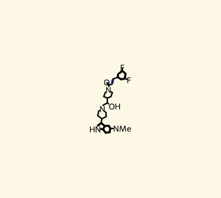 CNc1ccc2[nH]cc(C3CCN(CC(O)C4CCN(C(=O)/C=C/c5cc(F)cc(F)c5)CC4)CC3)c2c1